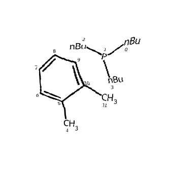 CCCCP(CCCC)CCCC.Cc1ccccc1C